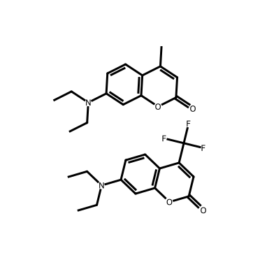 CCN(CC)c1ccc2c(C(F)(F)F)cc(=O)oc2c1.CCN(CC)c1ccc2c(C)cc(=O)oc2c1